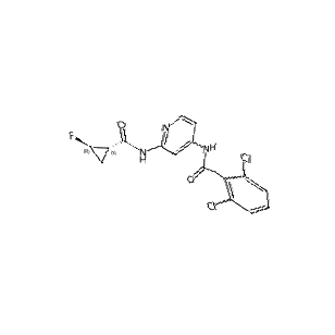 O=C(Nc1ccnc(NC(=O)[C@@H]2C[C@H]2F)c1)c1c(Cl)cccc1Cl